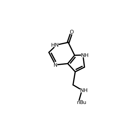 CCCCNCc1c[nH]c2c(=O)[nH]cnc12